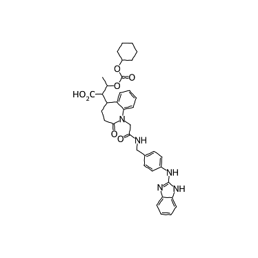 CC(OC(=O)OC1CCCCC1)C(C(=O)O)C1CCC(=O)N(CC(=O)NCc2ccc(Nc3nc4ccccc4[nH]3)cc2)c2ccccc21